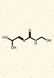 O=C(N=CC(O)O)NCO